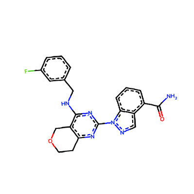 NC(=O)c1cccc2c1cnn2-c1nc2c(c(NCc3cccc(F)c3)n1)COCC2